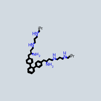 CC(C)CNCCCNCCC(N)Cc1ccc(-c2ccccc2-c2ccc(CC(N)CCNCCCNCC(C)C)cc2)cc1